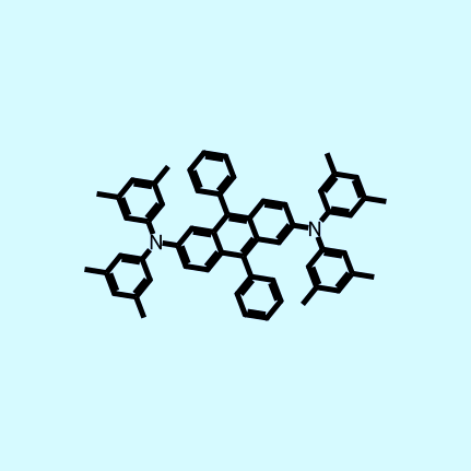 Cc1cc(C)cc(N(c2cc(C)cc(C)c2)c2ccc3c(-c4ccccc4)c4cc(N(c5cc(C)cc(C)c5)c5cc(C)cc(C)c5)ccc4c(-c4ccccc4)c3c2)c1